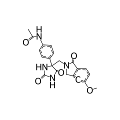 COc1ccc2c(c1)CN(CC1(c3ccc(NC(C)=O)cc3)NC(=O)NC1=O)C2=O